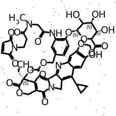 CC[C@@]1(OC(=O)OCc2ccc(O[C@@H]3OC(C(=O)O)[C@@H](O)[C@H](O)C3O)c(NC(=O)CN(C)C(=O)CCN3C(=O)C=CC3=O)c2)C(=O)OCc2c1cc1n(c2=O)Cc2c-1nc1cc3c(cc1c2C1CC1)OCO3